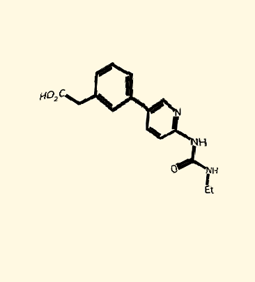 CCNC(=O)Nc1ccc(-c2cccc(CC(=O)O)c2)cn1